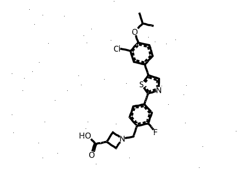 CC(C)Oc1ccc(-c2cnc(-c3ccc(CN4CC(C(=O)O)C4)c(F)c3)s2)cc1Cl